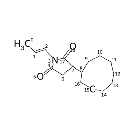 C/C=C/N1C(=O)CC(C2CCCCCCCC2)C1=O